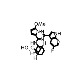 COc1ccc2c(NC3[C@H]4CC[C@H](CC4)[C@@H]3C(=O)O)nc(-c3c[nH]c4ncc(F)cc34)nn12